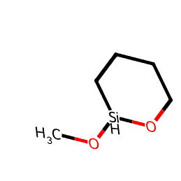 CO[SiH]1CCCCO1